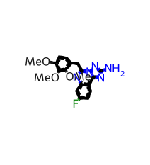 COc1ccc(Cc2nc3cc(F)ccc3c3nc(N)nn23)c(OC)c1OC